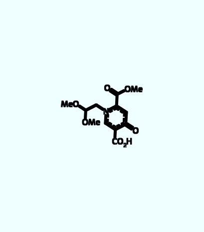 COC(=O)c1cc(=O)c(C(=O)O)cn1CC(OC)OC